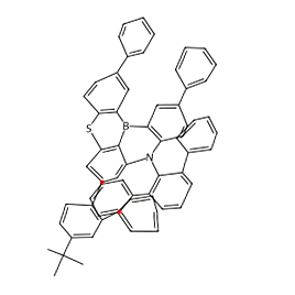 CC(C)(C)c1ccc(-c2cc3c4c(c2)N(c2c(-c5ccccc5)cccc2-c2ccccc2)c2ccc(-c5ccccc5)cc2B4c2cc(-c4ccccc4)ccc2S3)c(-c2ccccc2)c1